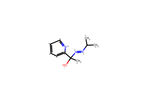 CC(C)N=NC(C)(O)c1ccccn1